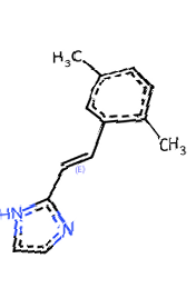 Cc1ccc(C)c(/C=C/c2ncc[nH]2)c1